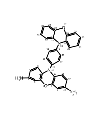 Nc1ccc2c(c1)Oc1cc(N)ccc1N2c1ccc(N2c3ccccc3Oc3ccccc32)cc1